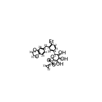 CCc1ccc([C@@H]2OC(S(=O)(=O)C3CC3)[C@@H](O)[C@H](O)[C@H]2O)cc1Cc1ccc2c(c1)OCCO2